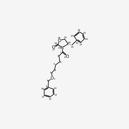 O=C(CCCCCOCc1ccccc1)N1C(=O)OC[C@@H]1Cc1ccccc1